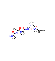 CSCC[C@H](NC(=O)[C@@H]1CCCN1C(=O)CNC(=O)[C@@H]1CCCN1C(=O)[C@@H](NC(=O)[C@@H]1CCCN1)C(C)C)C(=O)O